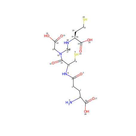 NC(CCC(=O)NC(CS)C(=O)N(CC(=O)O)[Se]N[C@@H](CCS)C(=O)O)C(=O)O